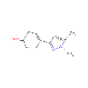 Cc1cc(C2=CCC(=O)CC2)nn1C